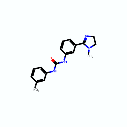 CN1CCN=C1c1cccc(NC(=O)Nc2cccc([N+](=O)[O-])c2)c1